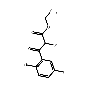 CCOC(=O)C(Br)C(=O)c1cc(F)ccc1Cl